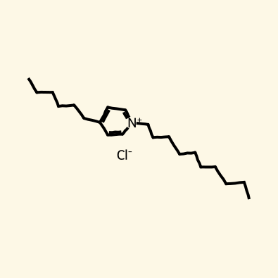 CCCCCCCCCC[n+]1ccc(CCCCCC)cc1.[Cl-]